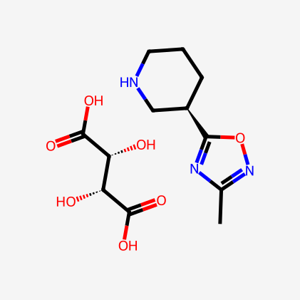 Cc1noc([C@@H]2CCCNC2)n1.O=C(O)[C@H](O)[C@@H](O)C(=O)O